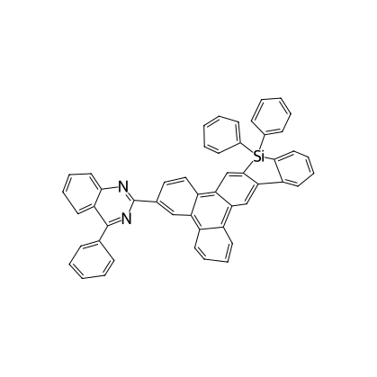 c1ccc(-c2nc(-c3ccc4c(c3)c3ccccc3c3cc5c(cc43)[Si](c3ccccc3)(c3ccccc3)c3ccccc3-5)nc3ccccc23)cc1